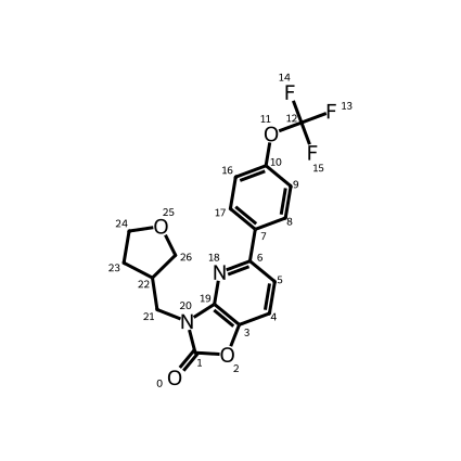 O=c1oc2ccc(-c3ccc(OC(F)(F)F)cc3)nc2n1CC1CCOC1